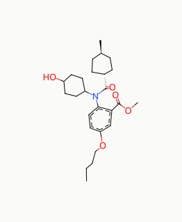 CCCCOc1ccc(N(C(=O)[C@H]2CC[C@H](C)CC2)C2CCC(O)CC2)c(C(=O)OC)c1